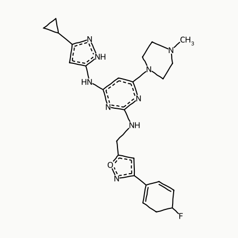 CN1CCN(c2cc(Nc3cc(C4CC4)n[nH]3)nc(NCc3cc(C4=CCC(F)C=C4)no3)n2)CC1